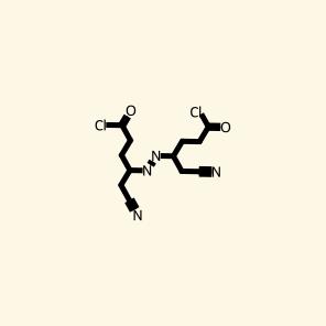 N#CCC(CCC(=O)Cl)N=NC(CC#N)CCC(=O)Cl